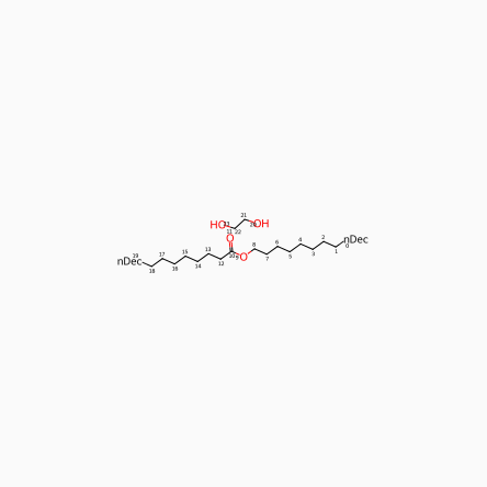 CCCCCCCCCCCCCCCCCCOC(=O)CCCCCCCCCCCCCCCCC.OCCO